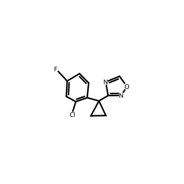 Fc1ccc(C2(c3ncon3)CC2)c(Cl)c1